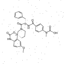 COc1ccc2c(c1)[C@@]1(CCCN(C(=O)[C@H](Cc3ccccc3)NC(=O)c3ccc(N(C)C(=O)O)cc3)C1)OC(=O)N2